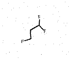 FCCC(F)F